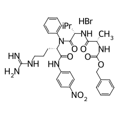 Br.CC(C)[C@H](NC(=O)[C@H](C)NC(=O)OCc1ccccc1)C(=O)N(c1ccccc1)[C@@H](CCCNC(=N)N)C(=O)Nc1ccc([N+](=O)[O-])cc1